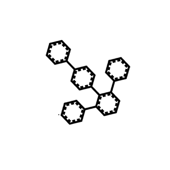 [c]1ccc(-c2cccc(-c3ccccc3)c2-c2ccc(-c3ccccc3)cc2)cc1